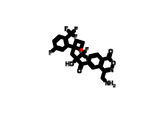 NCc1noc(=O)c2ccc(C(=O)C(O)(CC3(c4cc(F)ccc4C(F)(F)F)CCC3)C(F)(F)F)cc12